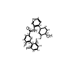 C[C@H]1C[C@@H](c2ccncc2NC(=O)c2ccc(F)c(-c3c(F)cccc3F)n2)CCC1O